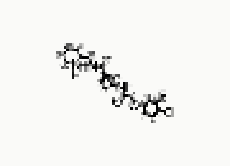 O=C(COc1ccc(Cl)c(F)c1)NC12CC(C1)C(C(=O)NCC1CCCCN1)C2